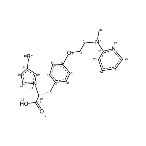 CN(CCOc1ccc(C[C@H](C(=O)O)n2ccc(Br)c2)cc1)c1ccccn1